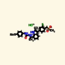 CNc1ccc(NC(=O)NC(C)c2cccc3c(-c4ccc(CS(C)(=O)=O)c(F)c4)c(C(=O)O)[nH]c23)cc1.Cl